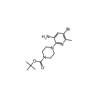 Cc1nc(N2CCN(C(=O)OC(C)(C)C)CC2)c(N)cc1Br